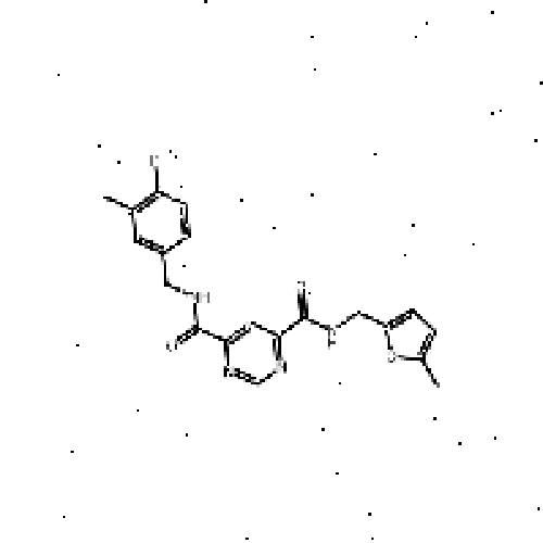 Cc1ccc(CNC(=O)c2cc(C(=O)NCc3ccc(F)c(C)c3)ncn2)o1